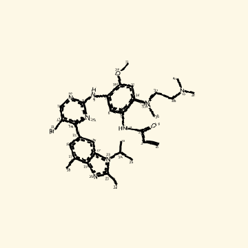 C=CC(=O)Nc1cc(Nc2ncc(Br)c(-c3cc(C)c4nc(C)n(C(C)C)c4c3)n2)c(OC)cc1N(C)CCN(C)C